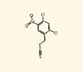 N#CCCc1cc([N+](=O)[O-])c(Cl)cc1Cl